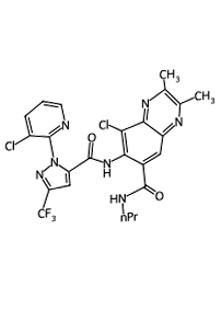 CCCNC(=O)c1cc2nc(C)c(C)nc2c(Cl)c1NC(=O)c1cc(C(F)(F)F)nn1-c1ncccc1Cl